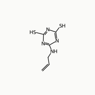 C=CCNc1nc(S)nc(S)n1